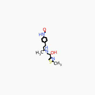 Cc1nc(C(O)CNC(C)CCc2ccc(NC=O)cc2)cs1